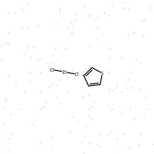 [Cl][Zn][Cl].[c]1ccsc1